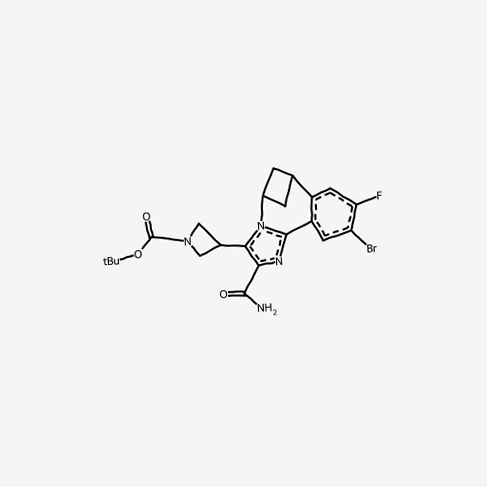 CC(C)(C)OC(=O)N1CC(c2c(C(N)=O)nc3n2C2CC(C2)c2cc(F)c(Br)cc2-3)C1